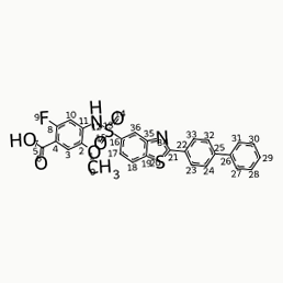 COc1cc(C(=O)O)c(F)cc1NS(=O)(=O)c1ccc2sc(-c3ccc(-c4ccccc4)cc3)nc2c1